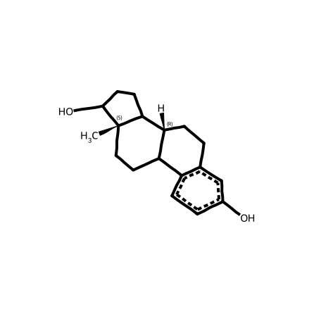 C[C@]12CCC3c4ccc(O)cc4CC[C@H]3C1CCC2O